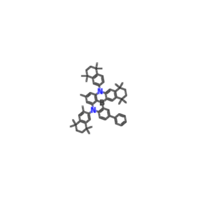 Cc1cc2c3c(c1)N(c1cc4c(cc1C)C(C)(C)CCC4(C)C)c1ccc(-c4ccccc4)cc1B3c1cc3c(cc1N2c1ccc2c(c1)C(C)(C)CCC2(C)C)C(C)(C)CCC3(C)C